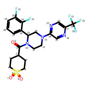 O=C(C1CCS(=O)(=O)CC1)N1CCN(c2cnc(C(F)(F)F)cn2)CC1c1cccc(F)c1F